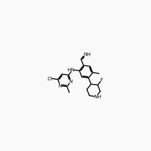 Cc1nc(Cl)cc(Nc2cc(C3CCNCC3F)c(C)cc2C=N)n1